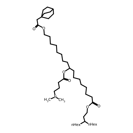 CCCCCCC(CCCCCC)CCOC(=O)CCCCCCCC(CCCCCCCCOC(=O)CC12CCC(CC1)CC2)OC(=O)CCCN(C)C